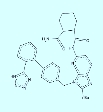 CCCCc1nc2ccc(NC(=O)C3CCCCC3C(N)=O)nc2n1Cc1ccc(-c2ccccc2-c2nnn[nH]2)cc1